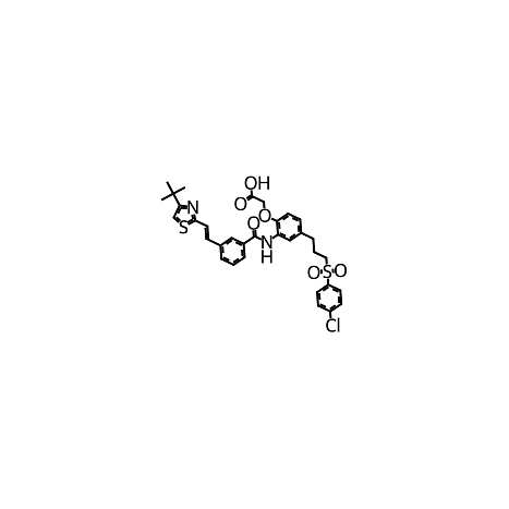 CC(C)(C)c1csc(/C=C/c2cccc(C(=O)Nc3cc(CCCS(=O)(=O)c4ccc(Cl)cc4)ccc3OCC(=O)O)c2)n1